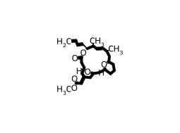 C=C/C=C/[C@@H]1OC(=O)C[C@@H]2C/C(=C\C(=O)OC)CC(C[C@@H]3CCCC(C[C@@H](C)/C=C/[C@@H]1C)O3)O2